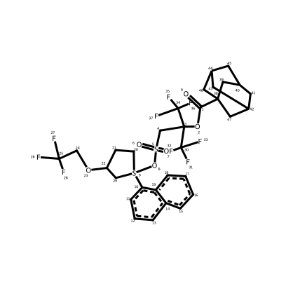 O=C(OC(CS(=O)(=O)OS1(c2cccc3ccccc23)CCC(OCC(F)(F)F)C1)(C(F)(F)F)C(F)(F)F)C12CC3CC(CC(C3)C1)C2